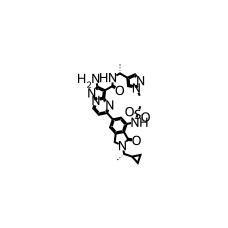 C[C@@H](NC(=O)c1c(N)nn2ccc(-c3cc4c(c(NS(C)(=O)=O)c3)C(=O)N([C@@H](C)C3CC3)C4)nc12)c1cnn(C)c1